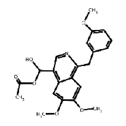 COc1cccc(Cc2ncc(C(O)OC(C)=O)c3cc(OC)c(OC)cc23)c1